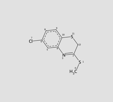 CSC1=Nc2cc(Cl)ccc2SC1